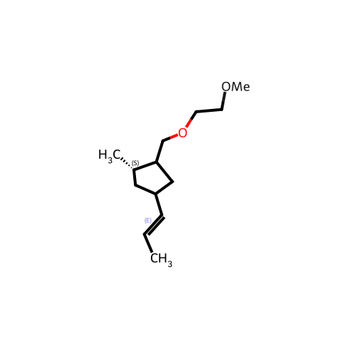 C/C=C/C1CC(COCCOC)[C@@H](C)C1